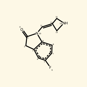 O=C1Cc2cc(F)ccc2N1C=C1CNC1